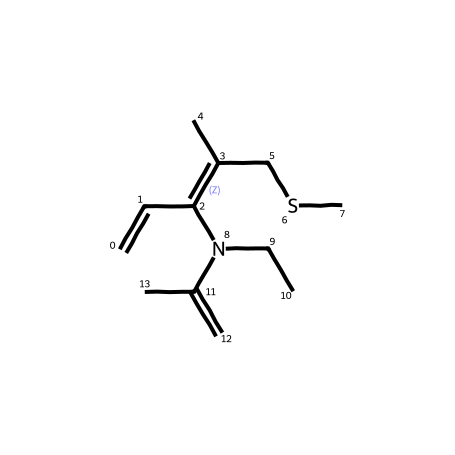 C=C/C(=C(\C)CSC)N(CC)C(=C)C